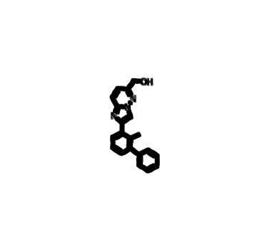 Cc1c(-c2ccccc2)cccc1-c1cn2nc(CO)ccc2n1